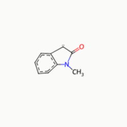 CN1C(=O)[C]c2ccccc21